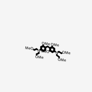 COCCN(CCOC)c1ccc(Cc2c(OC)cc(N(CCOC)CCOC)cc2OC)c(OC)c1